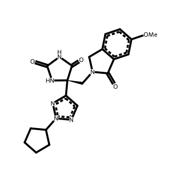 COc1ccc2c(c1)C(=O)N(C[C@@]1(c3cnn(C4CCCC4)n3)NC(=O)NC1=O)C2